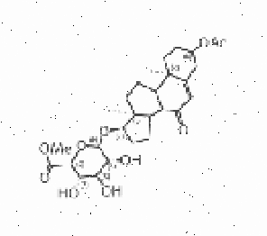 COC(=O)[C@H]1O[C@@H](O[C@@H]2CCC3C4C(=O)C=C5C[C@H](OC(C)=O)CC[C@]5(C)C4CC[C@@]32C)[C@H](O)[C@@H](O)[C@@H]1O